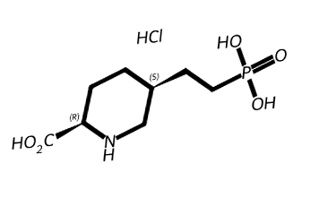 Cl.O=C(O)[C@H]1CC[C@@H](CCP(=O)(O)O)CN1